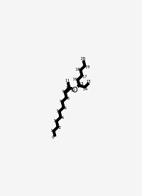 CCCCCCCCCC=C(C)OC(CC)CCCCC